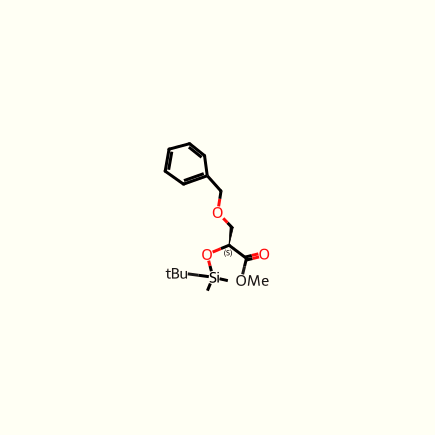 COC(=O)[C@H](COCc1ccccc1)O[Si](C)(C)C(C)(C)C